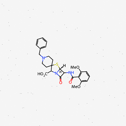 COc1cccc(OC)c1C(=O)NC1C(=O)N2C(C(=O)O)C3(CCN(Cc4ccccc4)CC3)S[C@H]12